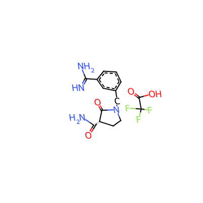 N=C(N)c1cccc(CN2CC[C@H](C(N)=O)C2=O)c1.O=C(O)C(F)(F)F